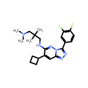 CN(C)CC(C)(C)CNc1nn2c(-c3ccc(F)c(F)c3)nnc2cc1C1CCC1